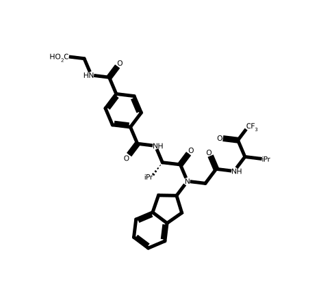 CC(C)C(NC(=O)CN(C(=O)[C@@H](NC(=O)c1ccc(C(=O)NCC(=O)O)cc1)C(C)C)C1Cc2ccccc2C1)C(=O)C(F)(F)F